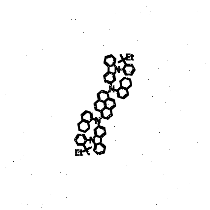 CCC(C)(C)c1ccccc1-n1c2ccccc2c2ccc(N(c3cccc4c3CCCC4)c3ccc4ccc5c(N(c6ccc7c8ccccc8n(-c8ccccc8C(C)(C)CC)c7c6)c6cccc7c6CCCC7)ccc6ccc3c4c65)cc21